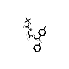 Cc1ccc([C@@H](Sc2ccccc2)[C@H](C)OC(=O)[C@H](C)NC(=O)OC(C)(C)C)cc1